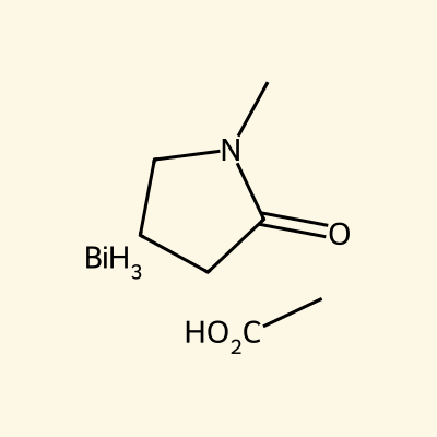 CC(=O)O.CN1CCCC1=O.[BiH3]